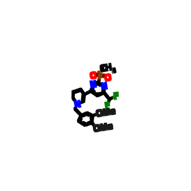 COc1ccc(CN2C=C(c3cc(C(F)F)nc(S(C)(=O)=O)n3)C=CC2)cc1OC